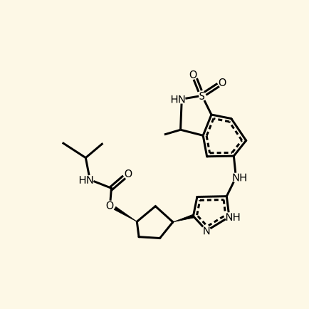 CC(C)NC(=O)O[C@@H]1CC[C@H](c2cc(Nc3ccc4c(c3)C(C)NS4(=O)=O)[nH]n2)C1